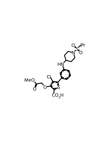 COC(=O)COc1c(C(=O)O)sc(-c2cccc(NC3CCN(S(=O)(=O)C(C)C)CC3)c2)c1Cl